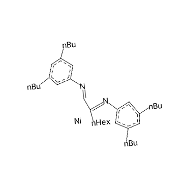 CCCCCCC(C=Nc1cc(CCCC)cc(CCCC)c1)=Nc1cc(CCCC)cc(CCCC)c1.[Ni]